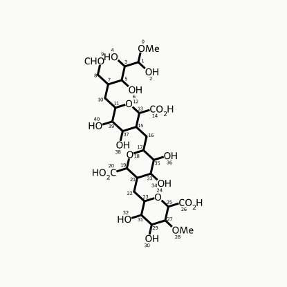 COC(O)C(O)C(O)C(CC=O)CC1OC(C(=O)O)C(CC2OC(C(=O)O)C(CC3OC(C(=O)O)C(OC)C(O)C3O)C(O)C2O)C(O)C1O